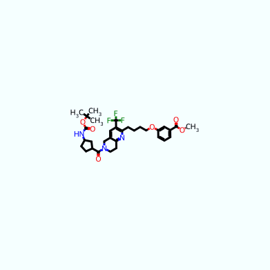 COC(=O)c1cccc(OCCCCc2nc3c(cc2C(F)(F)F)CN(C(=O)C2CCC(NC(=O)OC(C)(C)C)C2)CC3)c1